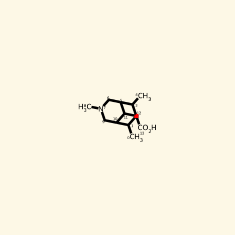 CC1CC(C)C2CN(C)CC1C2CC(=O)O